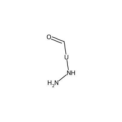 N[NH][U][CH]=O